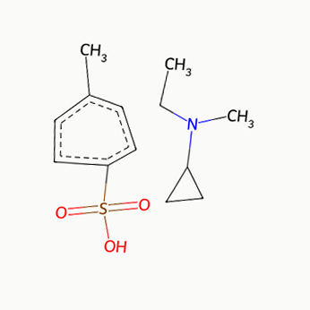 CCN(C)C1CC1.Cc1ccc(S(=O)(=O)O)cc1